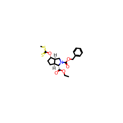 CCOC(=O)[C@@H]1[C@H]2CC[C@H](OC(=S)SC)[C@H]2CN1C(=O)OCc1ccccc1